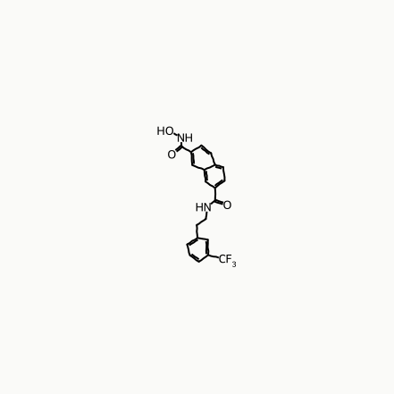 O=C(NO)c1ccc2ccc(C(=O)NCCc3cccc(C(F)(F)F)c3)cc2c1